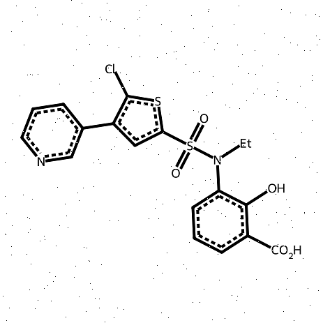 CCN(c1cccc(C(=O)O)c1O)S(=O)(=O)c1cc(-c2cccnc2)c(Cl)s1